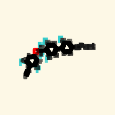 C#Cc1c(F)cc(OC(F)(F)c2c(F)cc(-c3ccc(CCCCC)cc3F)cc2F)cc1F